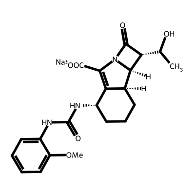 COc1ccccc1NC(=O)N[C@H]1CCC[C@H]2C1=C(C(=O)[O-])N1C(=O)[C@H](C(C)O)[C@@H]21.[Na+]